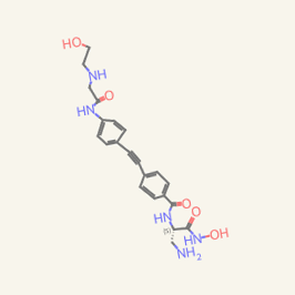 NC[C@H](NC(=O)c1ccc(C#Cc2ccc(NC(=O)CNCCO)cc2)cc1)C(=O)NO